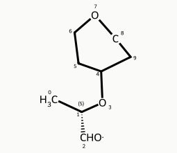 C[C@@H]([C]=O)OC1CCOCC1